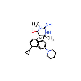 CN1C(=N)N[C@](C)(c2cccc(N3CCCCC3)c2)[C@H](c2ccc(C3CC3)cc2)C1=O